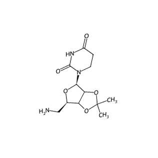 CC1(C)OC2C(O1)[C@@H](CN)O[C@H]2N1CCC(=O)NC1=O